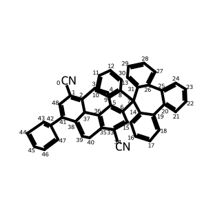 N#CC1=C2C=Cc3c(C4(c5ccccc5)c5ccccc5-c5ccccc5-c5ccccc54)cc(C#N)c4c3C2C(=CC4)C(c2ccccc2)=C1